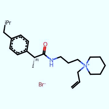 C=CC[N+]1(CCCNC(=O)[C@H](C)c2ccc(CC(C)C)cc2)CCCCC1.[Br-]